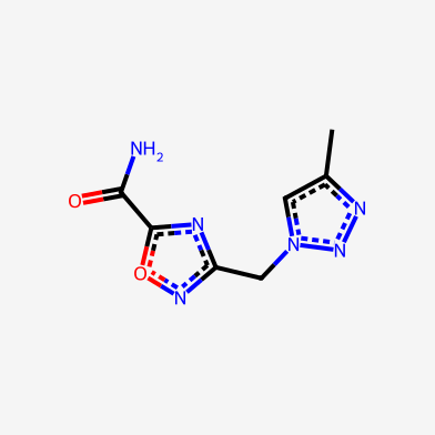 Cc1cn(Cc2noc(C(N)=O)n2)nn1